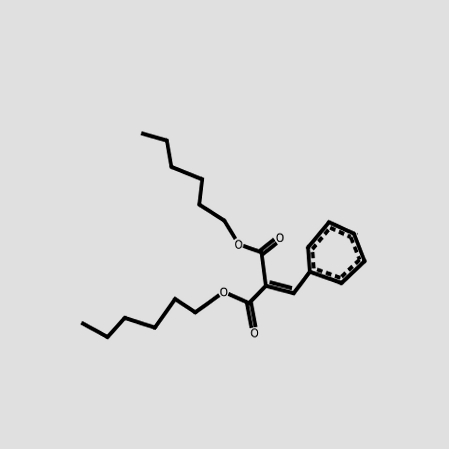 CCCCCCOC(=O)C(=Cc1cc[c]cc1)C(=O)OCCCCCC